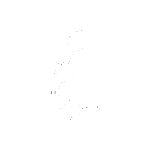 CC(C)(C)c1cccc(Nc2ccc(-c3ccccc3)cc2)c1